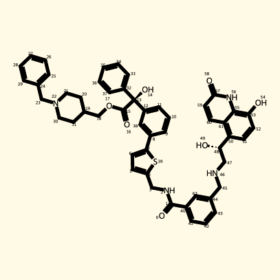 O=C(NCc1ccc(-c2cccc([C@](O)(C(=O)OCC3CCN(Cc4ccccc4)CC3)c3ccccc3)c2)s1)c1cccc(CNC[C@H](O)c2ccc(O)c3[nH]c(=O)ccc23)c1